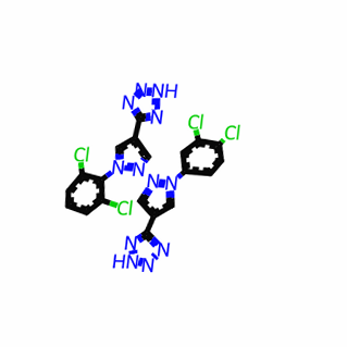 Clc1ccc(-n2cc(-c3nn[nH]n3)cn2)cc1Cl.Clc1cccc(Cl)c1-n1cc(-c2nn[nH]n2)cn1